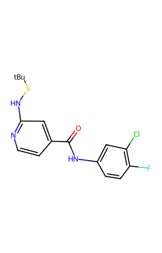 CC(C)(C)SNc1cc(C(=O)Nc2ccc(F)c(Cl)c2)ccn1